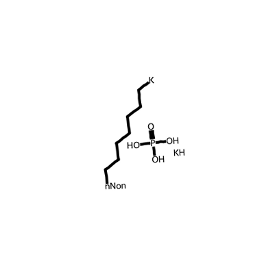 CCCCCCCCCCCCCCC[CH2][K].O=P(O)(O)O.[KH]